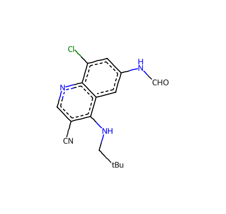 CC(C)(C)CNc1c(C#N)cnc2c(Cl)cc(NC=O)cc12